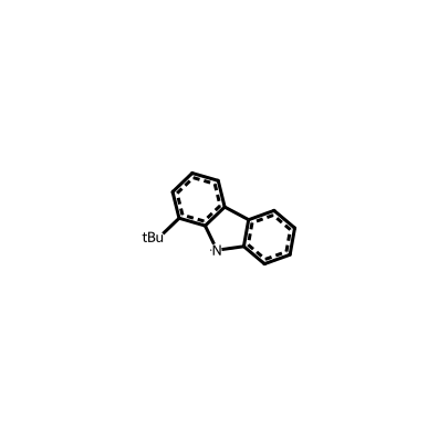 CC(C)(C)c1cccc2c1[N]c1ccccc1-2